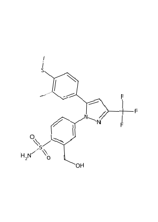 CSc1ccc(-c2cc(C(F)(F)F)nn2-c2ccc(S(N)(=O)=O)c(CO)c2)cc1C